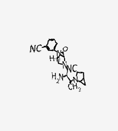 C=C(C(N)CN1C[C@@H]2CC1C(=O)N2c1cccc(C#N)c1)N1C(C#N)CC2CC21